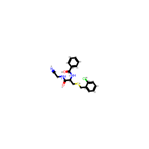 N#CCNC(=O)C(CSCc1ccccc1Cl)NC(=O)c1ccccc1